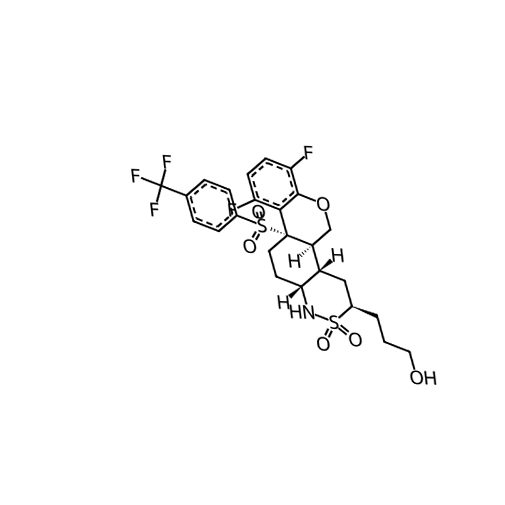 O=S1(=O)N[C@@H]2CC[C@@]3(S(=O)(=O)c4ccc(C(F)(F)F)cc4)c4c(F)ccc(F)c4OC[C@H]3[C@@H]2C[C@H]1CCCO